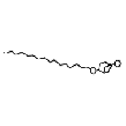 [CH2]CCCCCCCCCCCCCCCOC1CC2CCC1CC2[O]